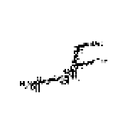 CCCCCCCCCCCCCC[C@H](C)C(=O)OCC[C@H](CSC[C@H](N)C(=O)N[C@@H](CO)C(=O)NCCOCCOCCC(=O)NCC(N)=O)OC(=O)[C@@H](C)CCCCCCCCCCCCCC